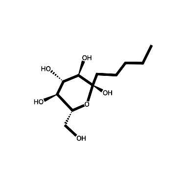 CCCCC[C@]1(O)O[C@H](CO)[C@@H](O)[C@H](O)[C@H]1O